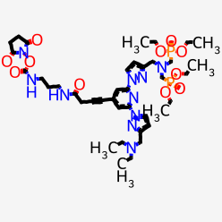 CCOP(=O)(CN(Cc1ccn(-c2cc(C#CCC(=O)NCCCNC(=O)ON3C(=O)CCC3=O)cc(-n3ccc(CN(CC)CC)n3)n2)n1)CP(=O)(OCC)OCC)OCC